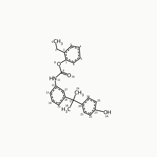 CCc1ccccc1OC(=O)Nc1cccc(C(C)(C)c2ccc(O)cc2)c1